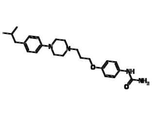 CC(C)Cc1ccc(N2CCN(CCCOc3ccc(NC(N)=O)cc3)CC2)cc1